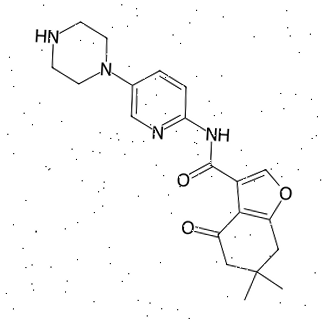 CC1(C)CC(=O)c2c(C(=O)Nc3ccc(N4CCNCC4)cn3)coc2C1